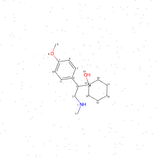 CNCC(c1ccc(OC)cc1)[Si]1(O)CCCCC1